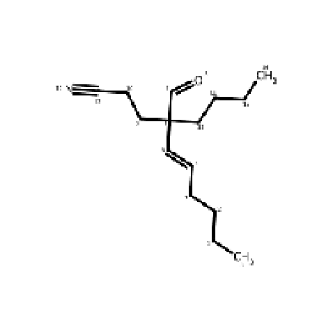 CCCCC=CC(C=O)(CCC#N)CCCC